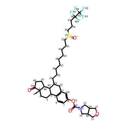 CC12CCC3c4ccc(OC(=O)N5CC6COCC6C5)cc4CC(CCCCCCCCC[S+]([O-])CCCC(F)(F)C(F)(F)F)C3C1CCC2=O